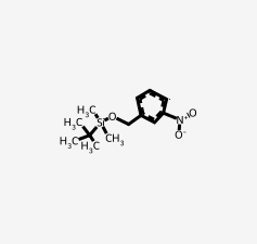 CC(C)(C)[Si](C)(C)OCc1cc[c]c([N+](=O)[O-])c1